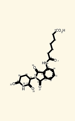 O=C(O)CCCCCC(=O)Nc1cccc2c1C(=O)N(C1CCC(=O)NC1=O)C2=O